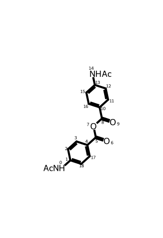 CC(=O)Nc1ccc(C(=O)OC(=O)c2ccc(NC(C)=O)cc2)cc1